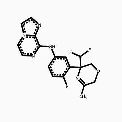 CC1=N[C@@](c2cc(Nc3nccn4ccnc34)ccc2F)(C(F)F)COC1